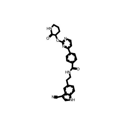 N#Cc1c[nH]c2ccc(CCNC(=O)c3ccc(-c4ccnc(OC5CCCNC5=O)n4)cc3)cc12